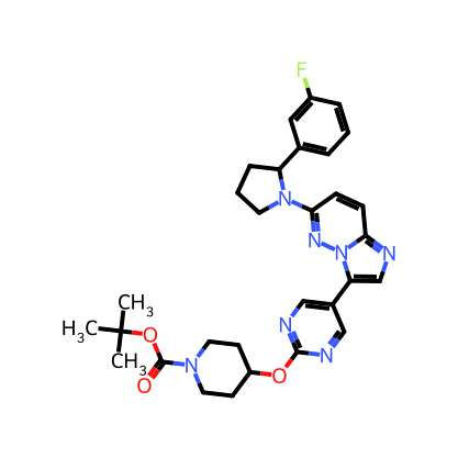 CC(C)(C)OC(=O)N1CCC(Oc2ncc(-c3cnc4ccc(N5CCCC5c5cccc(F)c5)nn34)cn2)CC1